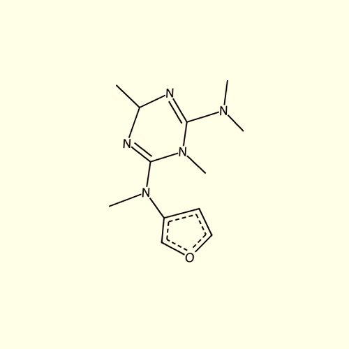 CC1N=C(N(C)C)N(C)C(N(C)c2ccoc2)=N1